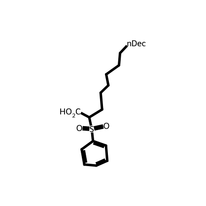 CCCCCCCCCCCCCCCCC(C(=O)O)S(=O)(=O)c1ccccc1